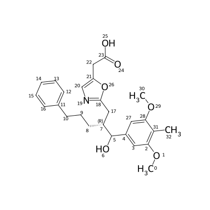 COc1cc(C(O)[C@H](CCCc2ccccc2)Cc2ncc(CC(=O)O)o2)cc(OC)c1C